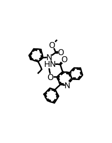 CCc1ccccc1N(NC(=O)c1c(OC)c(-c2ccccc2)nc2ccccc12)C(=O)OC